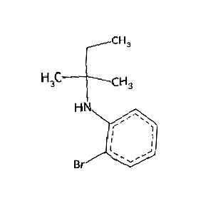 CCC(C)(C)Nc1ccccc1Br